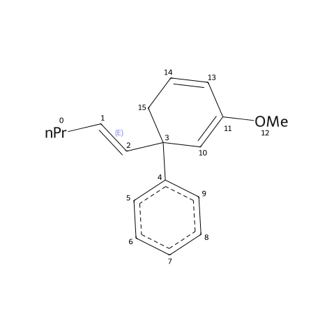 CCC/C=C/C1(c2ccccc2)C=C(OC)C=CC1